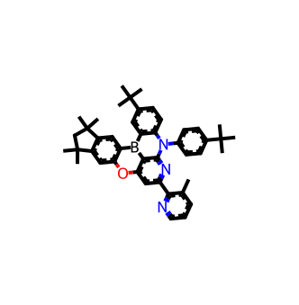 Cc1cccnc1-c1cc2c3c(n1)N(c1ccc(C(C)(C)C)cc1)c1ccc(C(C)(C)C)cc1B3c1cc3c(cc1O2)C(C)(C)CC3(C)C